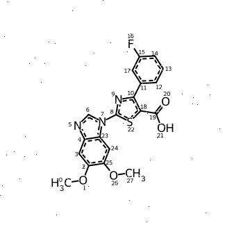 COc1cc2ncn(-c3nc(-c4cccc(F)c4)c(C(=O)O)s3)c2cc1OC